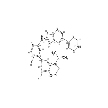 CC(C)N1CCOc2c(F)cc(-c3nc(Nc4nc5cc(C6=CCNCC6)ccc5s4)ncc3F)cc21